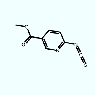 COC(=O)c1ccc(N=C=S)nc1